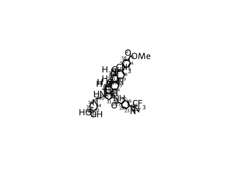 COC(=O)c1ccc(C2=CC[C@]3(C)[C@H]4CC[C@@H]5[C@H]6[C@H](NC(=O)c7ccc(C8(C(F)(F)F)N=N8)cc7)CC[C@]6(NCCN6CCS(O)(O)CC6)CC[C@@]5(C)[C@]4(C)CC[C@H]3C2(C)C)cc1